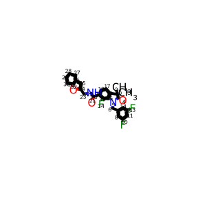 CC1(C)C(=O)N(Cc2cc(F)cc(F)c2)c2c1ccc(C(=O)NCc1cc3ccccc3o1)c2F